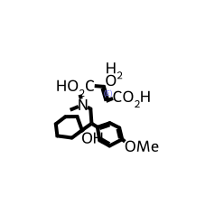 COc1ccc(C(CN(C)C)C2(O)CCCCC2)cc1.O.O=C(O)/C=C/C(=O)O